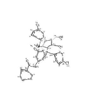 O=C(Nc1ccn([C@]2(C(=O)c3ccc(Cl)cc3)O[C@H](CO)[C@@H](O)C2C(=O)c2ccc(Cl)cc2)c(=O)n1)c1ccccc1